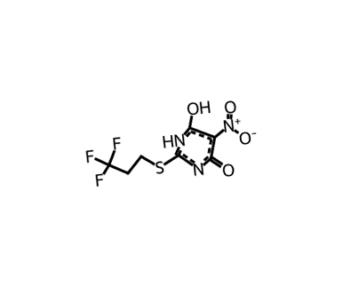 O=c1nc(SCCC(F)(F)F)[nH]c(O)c1[N+](=O)[O-]